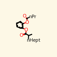 CCCCCCCC(C)C(=O)Oc1ccccc1OC(=O)CCC